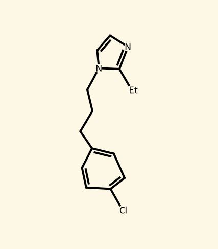 CCc1nccn1CCCc1ccc(Cl)cc1